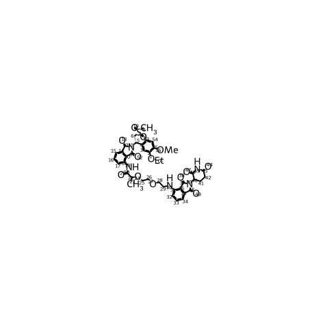 CCOc1cc([C@@H](CS(C)(=O)=O)N2C(=O)c3cccc(NC(=O)C(C)OCCOCCNc4cccc5c4C(=O)N(C4CCC(=O)NC4=O)C5=O)c3C2=O)ccc1OC